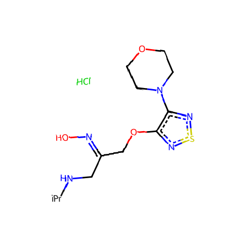 CC(C)NCC(COc1nsnc1N1CCOCC1)=NO.Cl